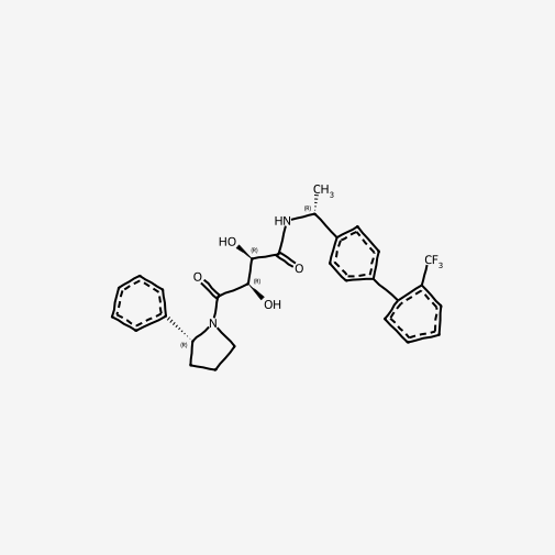 C[C@@H](NC(=O)[C@H](O)[C@@H](O)C(=O)N1CCC[C@@H]1c1ccccc1)c1ccc(-c2ccccc2C(F)(F)F)cc1